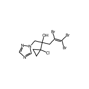 OC(CC(Br)=C(Br)Br)(Cn1cncn1)C1(Cl)CC1